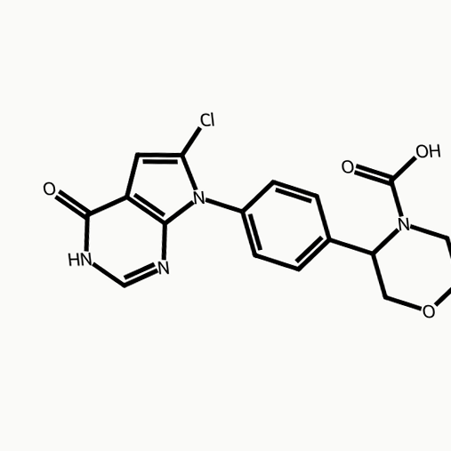 O=C(O)N1CCOCC1c1ccc(-n2c(Cl)cc3c(=O)[nH]cnc32)cc1